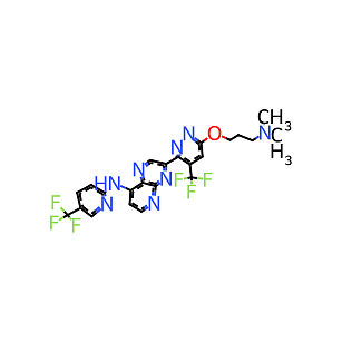 CN(C)CCCOc1cc(C(F)(F)F)c(-c2cnc3c(Nc4ccc(C(F)(F)F)cn4)ccnc3n2)nn1